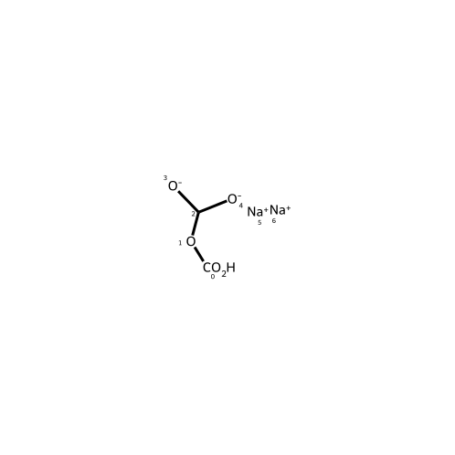 O=C(O)OC([O-])[O-].[Na+].[Na+]